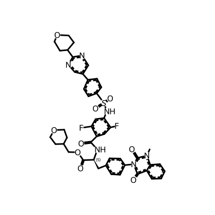 Cn1c(=O)n(-c2ccc(C[C@H](NC(=O)c3cc(F)c(NS(=O)(=O)c4ccc(-c5cnc(C6CCOCC6)nc5)cc4)cc3F)C(=O)OCC3CCOCC3)cc2)c(=O)c2ccccc21